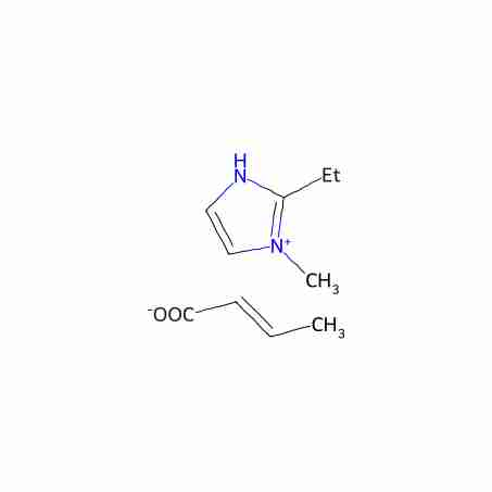 C/C=C/C(=O)[O-].CCc1[nH]cc[n+]1C